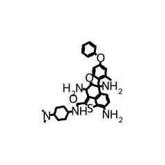 Cc1cc(Oc2ccccc2)ccc1C1(N)C(=O)C(N)c2c(C(=O)NC3CCC(N(C)C)CC3)sc3c(N)ccc1c23